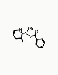 Cc1cccnc1N(NC(=O)c1ccccc1)C(C)(C)C